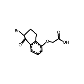 O=C(O)COc1cccc2c1CCC(Br)C2=O